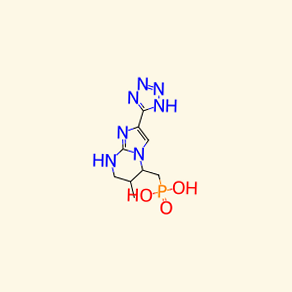 CC1CNc2nc(-c3nnn[nH]3)cn2C1CP(=O)(O)O